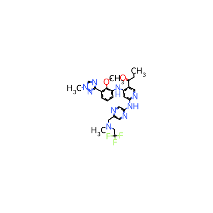 CCC(=O)c1cnc(Nc2cnc(CN(C)CC(F)(F)F)cn2)cc1Nc1cccc(-c2ncn(C)n2)c1OC